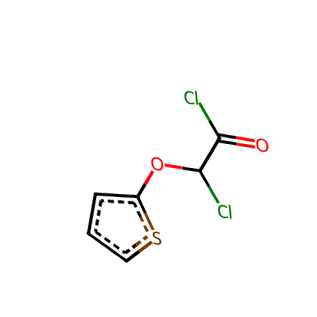 O=C(Cl)C(Cl)Oc1cccs1